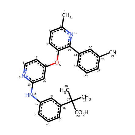 Cc1ccc(Oc2ccnc(Nc3cccc(C(C)(C)C(=O)O)c3)c2)c(-c2cccc(C#N)c2)n1